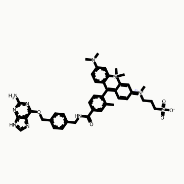 Cc1cc(C(=O)NCc2ccc(COc3nc(N)nc4[nH]cnc34)cc2)ccc1C1=C2C=C/C(=[N+](/C)CCCS(=O)(=O)[O-])C=C2[Si](C)(C)c2cc(N(C)C)ccc21